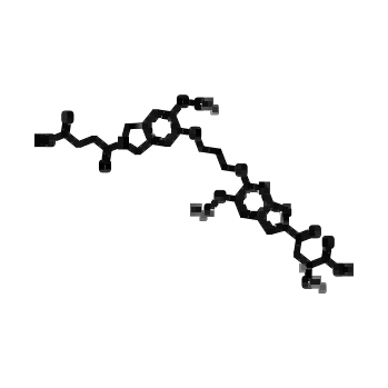 COc1cc2c(cc1OCCCOc1nc3sc(C(=O)C[C@H](C)C(=O)O)cc3cc1OC)CN(C(=O)CCC(=O)O)C2